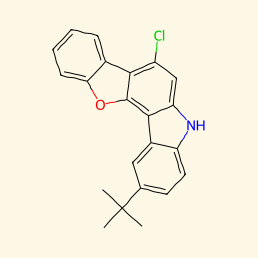 CC(C)(C)c1ccc2[nH]c3cc(Cl)c4c5ccccc5oc4c3c2c1